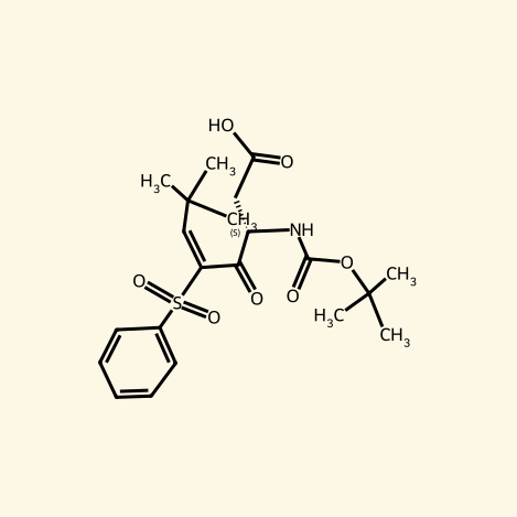 CC(C)(C)C=C(C(=O)[C@H](CC(=O)O)NC(=O)OC(C)(C)C)S(=O)(=O)c1ccccc1